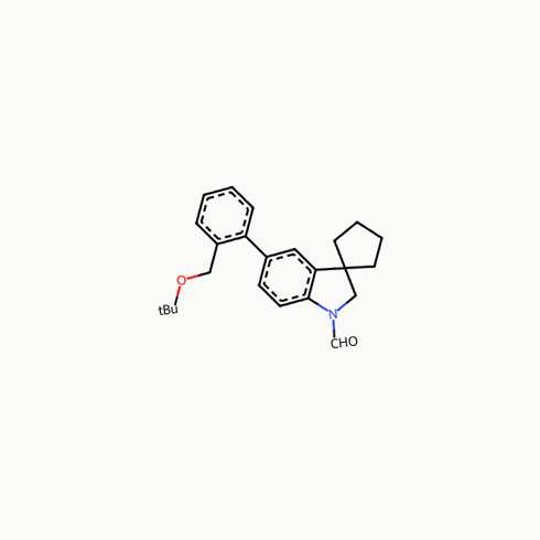 CC(C)(C)OCc1ccccc1-c1ccc2c(c1)C1(CCCC1)CN2C=O